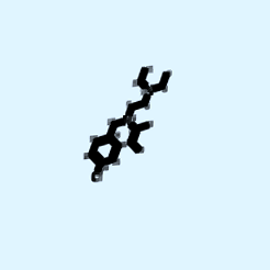 CC=C(C)N(CCN(CC)CC)Cc1ccc(Cl)cc1